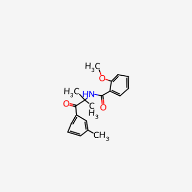 COc1ccccc1C(=O)NC(C)(C)C(=O)c1cccc(C)c1